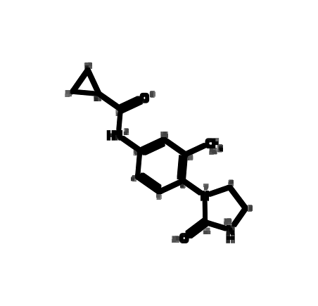 O=C(Nc1ccc(N2CCNC2=O)c(C(F)(F)F)c1)C1CC1